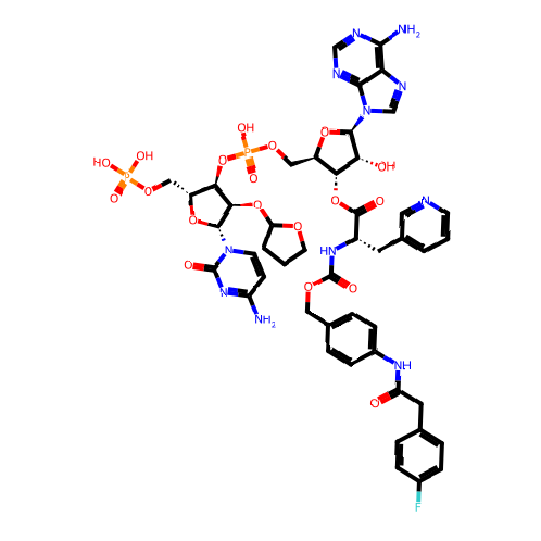 Nc1ccn([C@@H]2O[C@H](COP(=O)(O)O)[C@@H](OP(=O)(O)OC[C@H]3O[C@@H](n4cnc5c(N)ncnc54)[C@H](O)[C@@H]3OC(=O)[C@H](Cc3cccnc3)NC(=O)OCc3ccc(NC(=O)Cc4ccc(F)cc4)cc3)[C@H]2OC2CCCO2)c(=O)n1